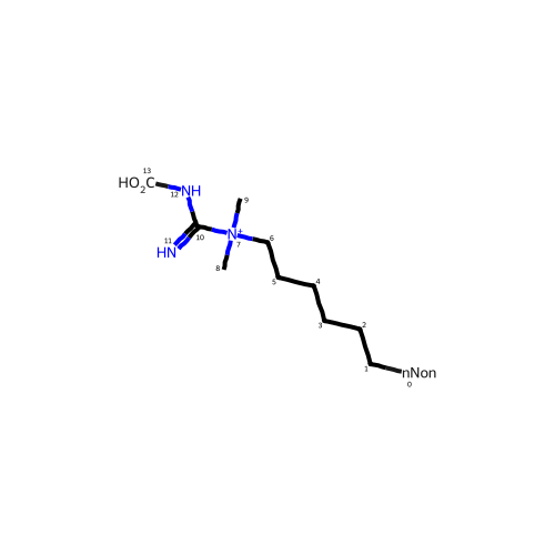 CCCCCCCCCCCCCCC[N+](C)(C)C(=N)NC(=O)O